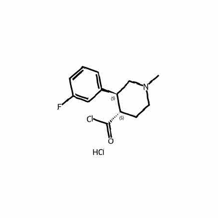 CN1CC[C@H](C(=O)Cl)[C@@H](c2cccc(F)c2)C1.Cl